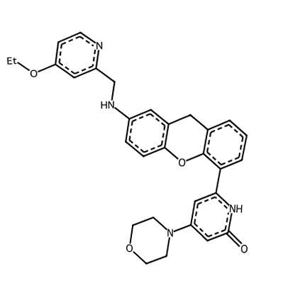 CCOc1ccnc(CNc2ccc3c(c2)Cc2cccc(-c4cc(N5CCOCC5)cc(=O)[nH]4)c2O3)c1